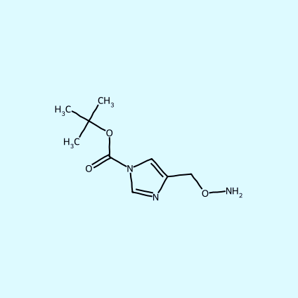 CC(C)(C)OC(=O)n1cnc(CON)c1